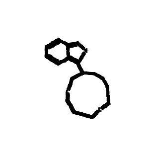 C1=c2ccccc2=C(C2CCCCCCCCCC2)[N]1